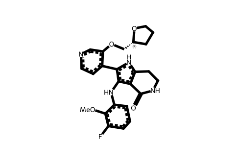 COc1c(F)cccc1Nc1c(-c2ccncc2OC[C@H]2CCCO2)[nH]c2c1C(=O)NCC2